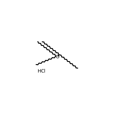 CCCCCCCCCCCCCC(CCCCCCCCCCCC)OC(CCCCCCCCCCCC)CCCCCCCCCCCCC.Cl